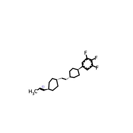 C/C=C/[C@H]1CC[C@H](CC[C@H]2CC[C@H](c3cc(F)c(F)c(F)c3)CC2)CC1